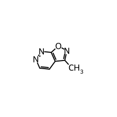 Cc1noc2nnccc12